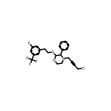 Fc1cc(CCOC2OCCN(CC#CCCl)C2c2ccccc2)cc(C(F)(F)F)c1